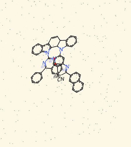 CCC/C(=N\c1cc(N2c3ccccc3C3C=Cc4c(n(C(/N=C(/c5ccccc5)c5cccc(C#N)c5)=N/C)c5ccccc45)C32)ccc1C)c1ccc2ccccc2c1